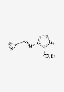 CCOC(=O)c1[nH]ccc1N=CC1C#C1